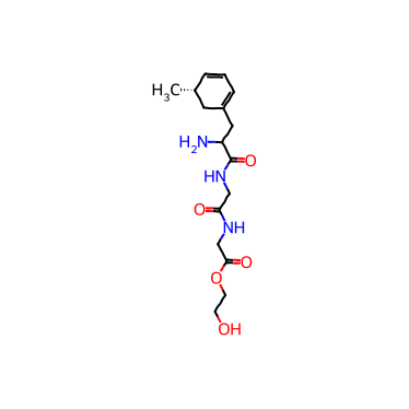 C[C@@H]1C=CC=C(CC(N)C(=O)NCC(=O)NCC(=O)OCCO)C1